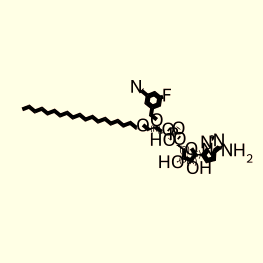 CCCCCCCCCCCCCCCCCCCOC[C@H](COP(=O)(O)OC[C@H]1O[C@@H](c2ccc3c(N)ncnn23)[C@H](O)[C@@H]1O)OCc1cc(F)cc(C#N)c1